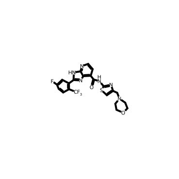 O=C(Nc1nc(CN2CCOCC2)cs1)c1ccnc2[nH]c(-c3cc(F)ccc3C(F)(F)F)nc12